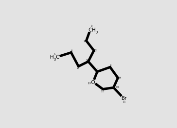 CCCC(CCC)C1CCC(Br)CO1